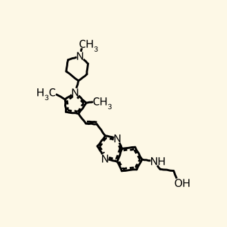 Cc1cc(/C=C/c2cnc3ccc(NCCO)cc3n2)c(C)n1C1CCN(C)CC1